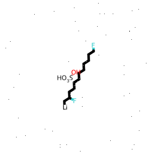 O=S(=O)(O)O.[Li][CH2]C(F)CCCCCCCCCCF